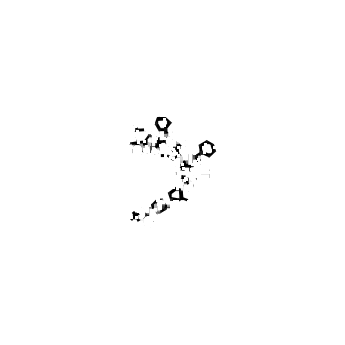 Cc1cc(N2CCN(C(=O)OC(C)(C)C)CC2)ccc1OC(=O)N[C@@H](CCc1ccccc1)C(=O)N[C@H]1CC(C)N([C@@H](Cc2ccccc2)C(=O)N[C@@H](CC(C)C)C(=O)[C@@]2(C)CO2)C1=O